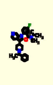 CC(c1ccccc1)N1CCC(c2cn(-c3ccc(F)cc3C(=O)N(C)C(C)C)c3cnccc23)CC1